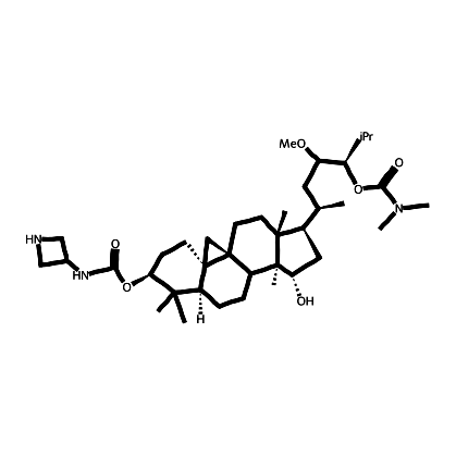 COC(C[C@@H](C)[C@H]1C[C@H](O)[C@@]2(C)C3CC[C@H]4C(C)(C)[C@@H](OC(=O)NC5CNC5)CC[C@@]45C[C@@]35CC[C@]12C)[C@H](OC(=O)N(C)C)C(C)C